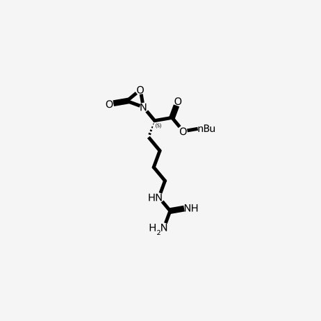 CCCCOC(=O)[C@H](CCCCNC(=N)N)N1OC1=O